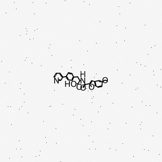 COc1ccc2oc(C(=O)NC(Cc3ccc(-c4cccnc4)cc3)C(=O)O)cc2c1